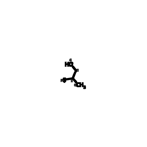 CC([S])CO